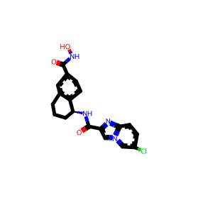 O=C(NO)c1ccc2c(c1)CCC[C@@H]2NC(=O)c1cn2cc(Cl)ccc2n1